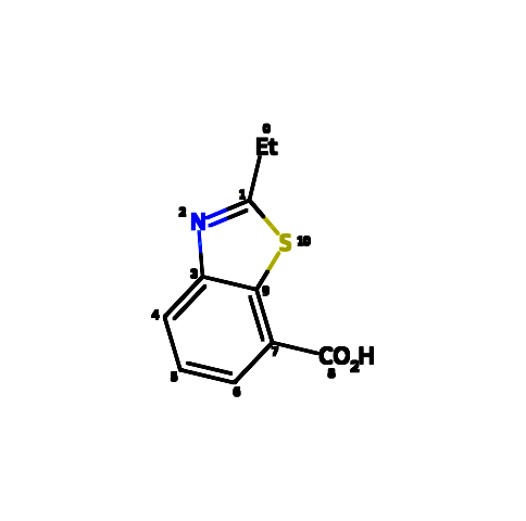 CCc1nc2cccc(C(=O)O)c2s1